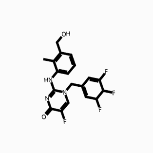 Cc1c(CO)cccc1Nc1nc(=O)c(F)cn1CC1=CC(F)C(F)C(F)=C1